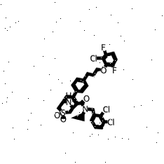 O=C(C1=C(c2ccc(CCCOc3c(F)ccc(F)c3Cl)cc2)CC2CS(=O)(=O)CC1N2)N(Cc1cccc(Cl)c1Cl)C1CC1